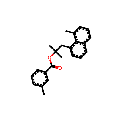 Cc1cccc(C(=O)OC(C)(C)Cc2cccc3cccc(C)c23)c1